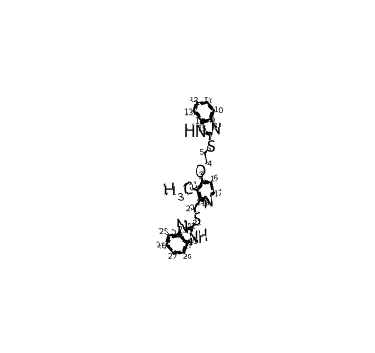 Cc1c(OCCSc2nc3ccccc3[nH]2)ccnc1CSc1nc2ccccc2[nH]1